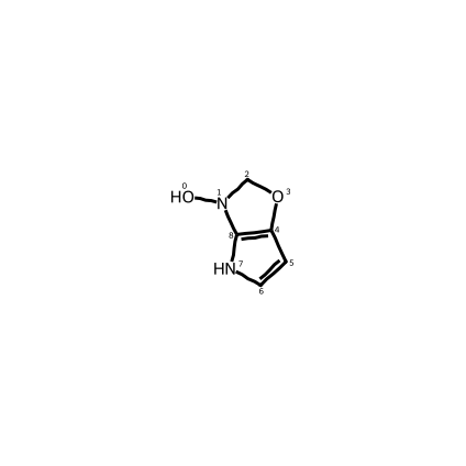 ON1COc2cc[nH]c21